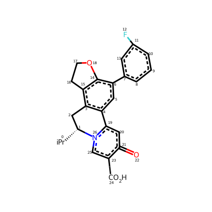 CC(C)[C@@H]1Cc2c(cc(-c3cccc(F)c3)c3c2CCO3)-c2cc(=O)c(C(=O)O)cn21